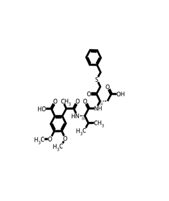 COc1cc(C(=O)O)c(C(C)C(=O)N[C@H](C(=O)N[C@@H](CC(=O)O)C(=O)CSCc2ccccc2)C(C)C)cc1OC